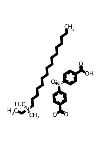 CCCCCCCCCCCCCCCC[N+](C)(C)CC.O=C([O-])c1ccc([S+]([O-])c2ccc(C(=O)O)cc2)cc1